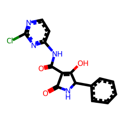 O=C(Nc1ccnc(Cl)n1)C1=C(O)C(c2ccccc2)NC1=O